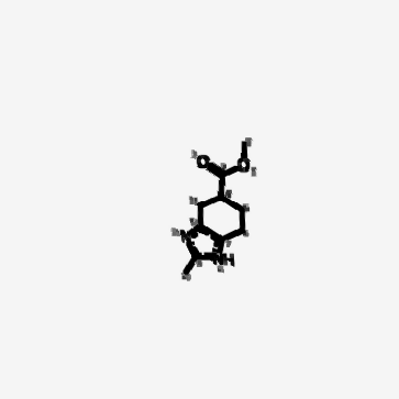 COC(=O)C1CCc2[nH]c(C)nc2C1